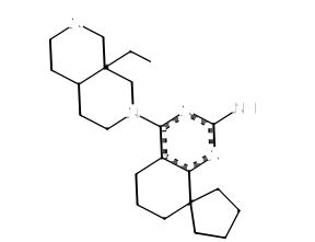 CCC12CNCCC1CCN(c1nc(N)nc3c1CCCC31CCCC1)C2